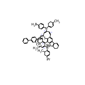 Bc1ccc(N(C2=CC=C(C)CC2)C2=C/C(=C/Nc3ccc(-c4ccccc4)cc3C)Sc3c(cc4c5c([pH]c4c3C(/C(=C\C=C)NC3=CC=C(C(C)C)CC3C)=C3\C=CC=CC3)CCC=C5)/C=C\2)cc1